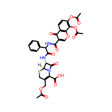 CC(=O)OCC1=C(C(=O)O)N2C(=O)[C@@H](NC(=O)C(NC(=O)c3coc4c(OC(C)=O)c(OC(C)=O)ccc4c3=O)c3ccccc3)[C@@H]2SC1